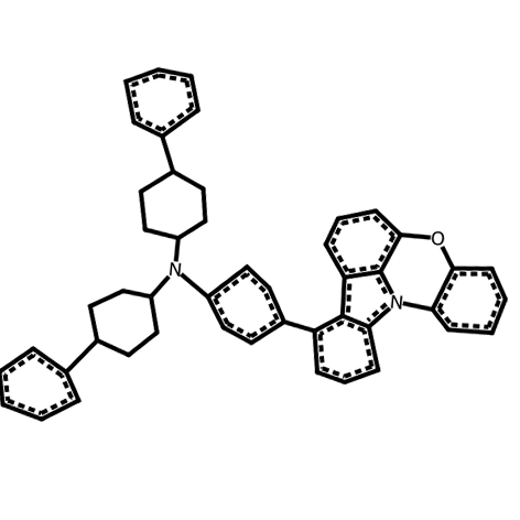 c1ccc(C2CCC(N(c3ccc(-c4cccc5c4c4cccc6c4n5-c4ccccc4O6)cc3)C3CCC(c4ccccc4)CC3)CC2)cc1